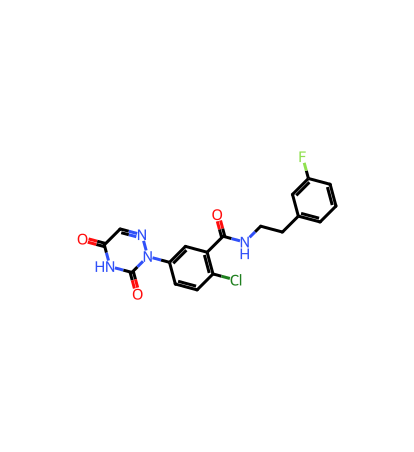 O=C(NCCc1cccc(F)c1)c1cc(-n2ncc(=O)[nH]c2=O)ccc1Cl